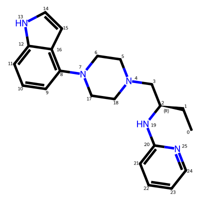 CC[C@H](CN1CCN(c2cccc3[nH]ccc23)CC1)Nc1ccccn1